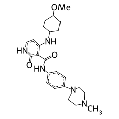 COC1CCC(Nc2cc[nH]c(=O)c2C(=O)Nc2ccc(N3CCN(C)CC3)cc2)CC1